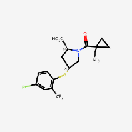 O=C(O)[C@@H]1C[C@@H](Sc2ccc(F)cc2C(F)(F)F)CN1C(=O)C1(C(F)(F)F)CC1